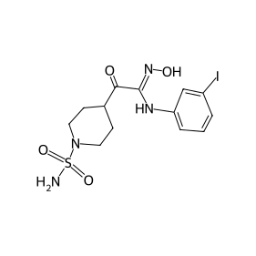 NS(=O)(=O)N1CCC(C(=O)/C(=N/O)Nc2cccc(I)c2)CC1